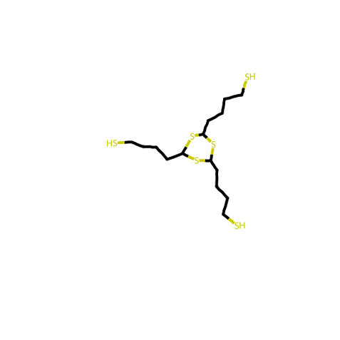 SCCCCC1SC(CCCCS)SC(CCCCS)S1